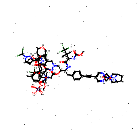 COC(=O)N[C@H](C(=O)N[C@@H](Cc1ccc(C#Cc2cnc(N3CC4CCC(C3)N4C3COC3)nc2)cc1)[C@H](CN(Cc1c(F)cc(-c2ccn(C(F)F)n2)cc1F)NC(=O)[C@@H](NC(=O)OC)C(C)(C)C(F)(F)F)OC(=O)CC(C)(C)c1c(CC(=O)NC2(C(=O)OC)CCOCC2)cc(C)cc1OP(=O)(O)O)C(C)(C)C(F)(F)F